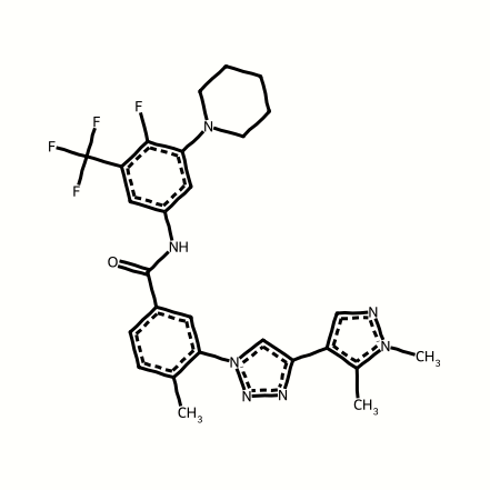 Cc1ccc(C(=O)Nc2cc(N3CCCCC3)c(F)c(C(F)(F)F)c2)cc1-n1cc(-c2cnn(C)c2C)nn1